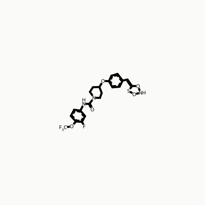 O=C(Nc1ccc(OC(F)(F)F)c(F)c1)N1CCC(Oc2ccc(C=C3ONOS3)cc2)CC1